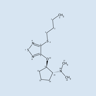 CCCCSc1nsnc1O[C@@H]1CCC[C@H]1N(C)C